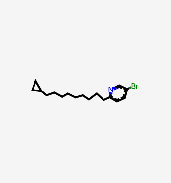 Brc1ccc(CCCCCCCCCC2CC2)nc1